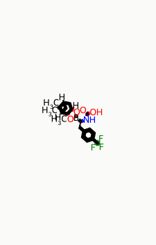 CC1(C)[C@@H]2C[C@H]3OB([C@H](Cc4ccc(C(F)(F)F)cc4)NC(=O)O)O[C@@]3(C)[C@H]1C2